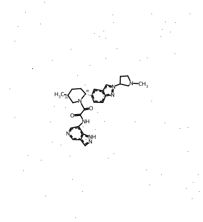 C[C@H]1CC[C@H](c2ccc3nn(C4CCN(C)C4)cc3c2)N(C(=O)C(=O)Nc2cncc3cn[nH]c23)C1